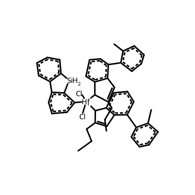 CCCC1=Cc2c(-c3ccccc3C)cccc2[CH]1[Hf]([Cl])([Cl])([c]1cccc2c1[SiH2]c1ccccc1-2)[CH]1C(CCC)=Cc2c(-c3ccccc3C)cccc21